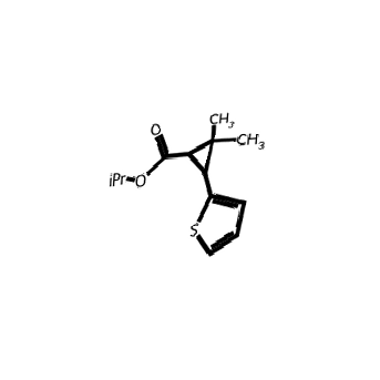 CC(C)OC(=O)C1C(c2cccs2)C1(C)C